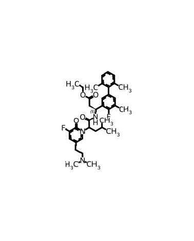 CCOC(=O)C[C@H](NC(=O)C(CC(C)C)n1cc(CCN(C)C)cc(F)c1=O)c1cc(-c2c(C)cccc2C)cc(C)c1F